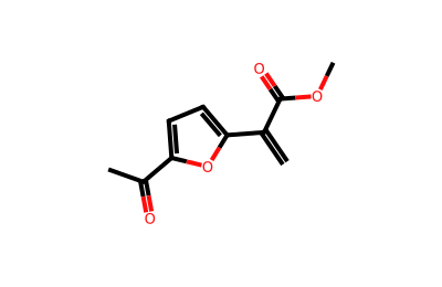 C=C(C(=O)OC)c1ccc(C(C)=O)o1